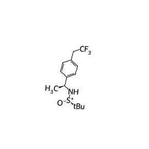 C[C@H](N[S@+]([O-])C(C)(C)C)c1ccc(CC(F)(F)F)cc1